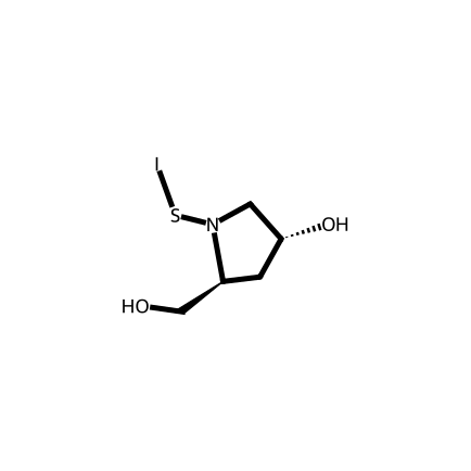 OC[C@@H]1C[C@@H](O)CN1SI